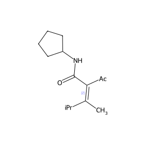 CC(=O)/C(C(=O)NC1CCCC1)=C(\C)C(C)C